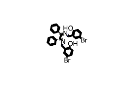 Oc1ccc(Br)cc1/C=N/[C@H](c1ccccc1)[C@H](/N=C/c1cc(Br)ccc1O)c1ccccc1